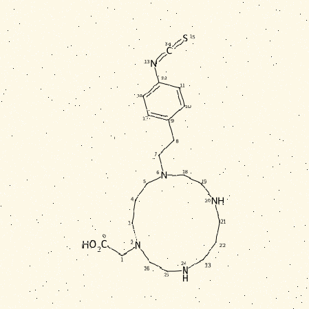 O=C(O)CN1CCCN(CCc2ccc(N=C=S)cc2)CCNCCCNCC1